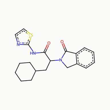 O=C(Nc1nccs1)C(CC1CCCCC1)N1Cc2ccccc2C1=O